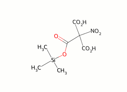 C[Si](C)(C)OC(=O)C(C(=O)O)(C(=O)O)[N+](=O)[O-]